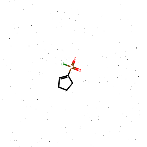 O=S(=O)(Cl)C1=CCCC1